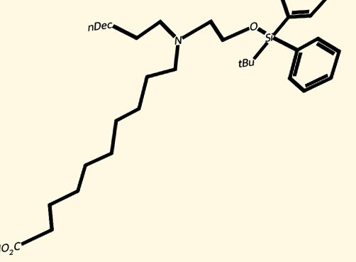 CCCCCCCCCCCCN(CCCCCCCCCC(=O)O)CCO[Si](c1ccccc1)(c1ccccc1)C(C)(C)C